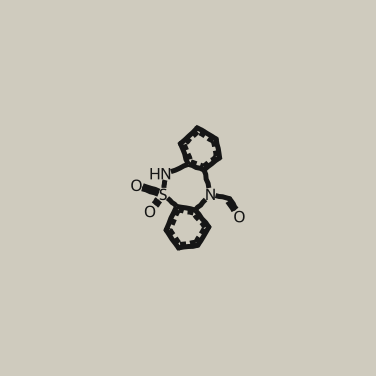 O=CN1c2ccccc2NS(=O)(=O)c2ccccc21